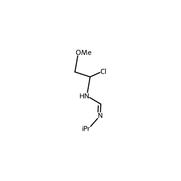 COCC(Cl)N/C=N\C(C)C